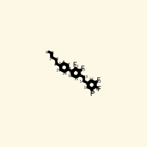 C/C=C/CCc1ccc(-c2ccc(CCc3cc(F)c(F)c(F)c3)c(F)c2F)cc1